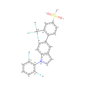 CS(=O)(=O)c1ccc(-c2ccc3c(ccn3-c3c(F)cccc3F)c2)c(C(F)(F)F)c1